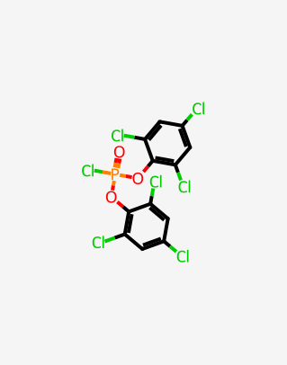 O=P(Cl)(Oc1c(Cl)cc(Cl)cc1Cl)Oc1c(Cl)cc(Cl)cc1Cl